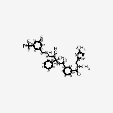 Cc1csc(CN(C)C(=O)c2cccc(C(=O)N[C@@](C)(c3ccccc3)[C@H](O)CNCc3cc(F)cc(C(F)(F)F)c3)c2)n1